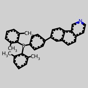 Cc1cccc(C)c1B(c1ccc(-c2ccc3c(ccc4ccncc43)c2)cc1)c1c(C)cccc1C